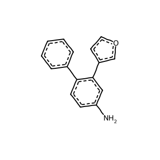 Nc1ccc(-c2ccccc2)c(-c2ccoc2)c1